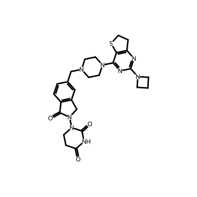 O=C1CCN(N2Cc3cc(CN4CCN(c5nc(N6CCC6)nc6c5SCC6)CC4)ccc3C2=O)C(=O)N1